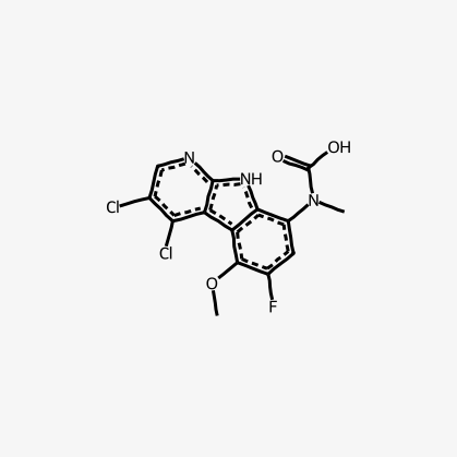 COc1c(F)cc(N(C)C(=O)O)c2[nH]c3ncc(Cl)c(Cl)c3c12